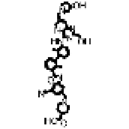 Cc1c(Nc2nc(CO)nc3cc(CN4CC[C@H](O)C4)cnc23)cccc1-c1cccc(-c2nc3cc(CN4CCC(C(=O)O)CC4)cc(C#N)c3o2)c1C